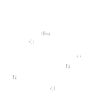 CC(C)(C)c1c(-c2c(Cl)cncc2Cl)noc1C1CC1